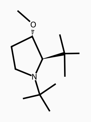 CO[C@H]1CCN(C(C)(C)C)[C@@H]1C(C)(C)C